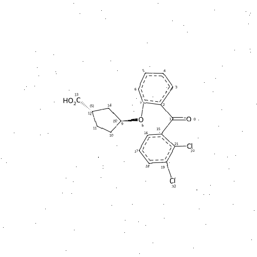 O=C(c1ccccc1O[C@H]1CC[C@H](C(=O)O)C1)c1cccc(Cl)c1Cl